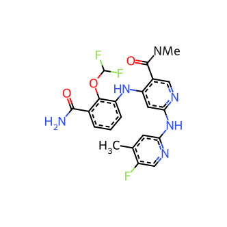 CNC(=O)c1cnc(Nc2cc(C)c(F)cn2)cc1Nc1cccc(C(N)=O)c1OC(F)F